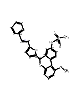 COc1cccc2c1-c1ccc(NS(C)(=O)=O)cc1C(c1ccc(/C=C/c3ccccc3)s1)O2